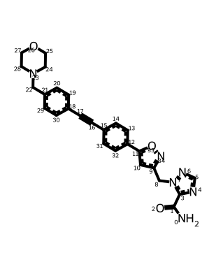 NC(=O)c1ncnn1Cc1cc(-c2ccc(C#Cc3ccc(CN4CCOCC4)cc3)cc2)on1